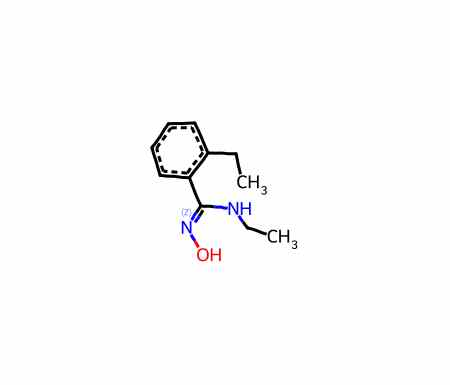 CCN/C(=N\O)c1ccccc1CC